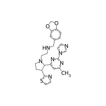 Cc1cc(C2C(c3nccs3)CCN2CCNCc2ccc3c(c2)OCO3)nc(-n2ccnc2)n1